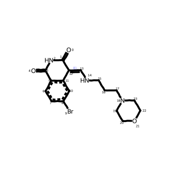 O=C1NC(=O)c2ccc(Br)cc2/C1=C\NCCCN1CCOCC1